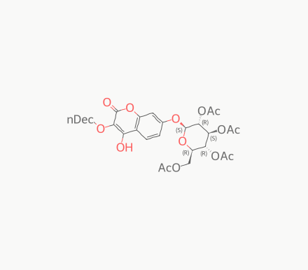 CCCCCCCCCCOc1c(O)c2ccc(O[C@@H]3O[C@H](COC(C)=O)[C@@H](OC(C)=O)[C@H](OC(C)=O)[C@H]3OC(C)=O)cc2oc1=O